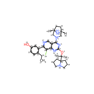 [2H]C([2H])(Oc1nc(N2C[C@H]3CC[C@@H](C2)N3)c2cnc(-c3cc(O)ccc3CC)c(F)c2n1)C12CCCN1CCC2